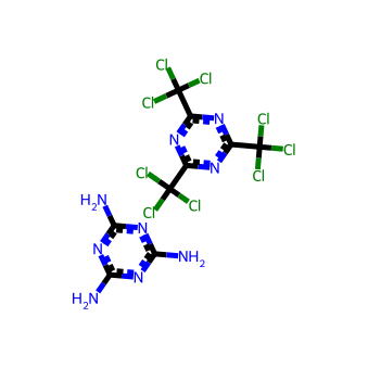 ClC(Cl)(Cl)c1nc(C(Cl)(Cl)Cl)nc(C(Cl)(Cl)Cl)n1.Nc1nc(N)nc(N)n1